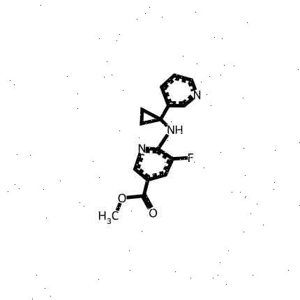 COC(=O)c1cnc(NC2(c3cccnc3)CC2)c(F)c1